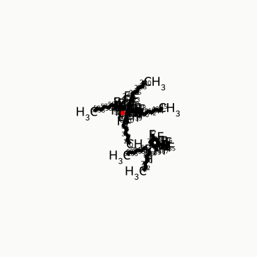 CCCCCCC(F)(F)C(F)(F)C(F)(F)[B-](C(F)(F)C(F)(F)C(F)(F)CCCCCC)(C(F)(F)C(F)(F)C(F)(F)CCCCCC)C(F)(F)C(F)(F)C(F)(F)CCCCCC.CCCCCC[PH+](CCCCCC)c1cc(F)c(F)c(C(F)(F)C(F)(F)F)c1F